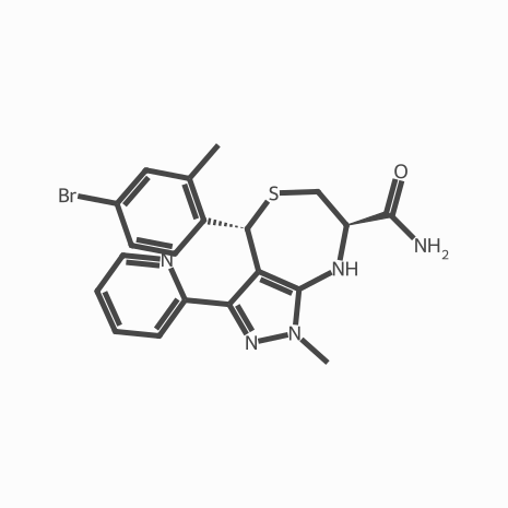 Cc1cc(Br)ccc1[C@@H]1SC[C@@H](C(N)=O)Nc2c1c(-c1ccccn1)nn2C